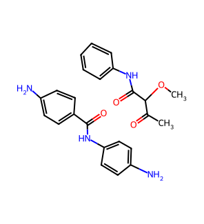 COC(C(C)=O)C(=O)Nc1ccccc1.Nc1ccc(NC(=O)c2ccc(N)cc2)cc1